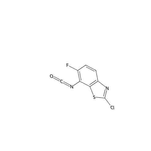 O=C=Nc1c(F)ccc2nc(Cl)sc12